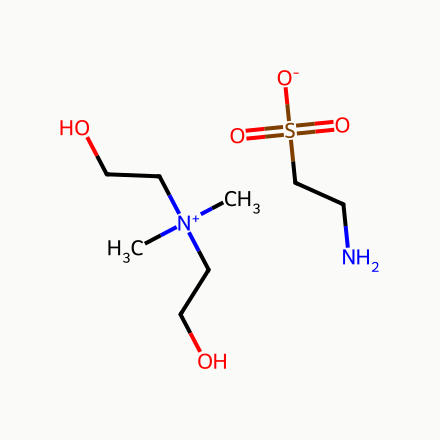 C[N+](C)(CCO)CCO.NCCS(=O)(=O)[O-]